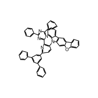 c1ccc(-c2cc(-c3ccccc3)cc(-c3ccc(-n4c5ccccc5c5cc6c(cc54)oc4ccccc46)c(-c4nc(-c5ccccc5)nc(-c5ccccc5)n4)n3)c2)cc1